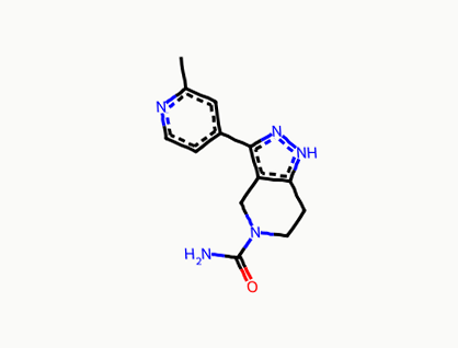 Cc1cc(-c2n[nH]c3c2CN(C(N)=O)CC3)ccn1